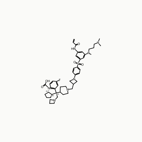 C=CC(=O)Nc1cc(N(C)CCCN(C)C)cc(S(=O)(=O)c2ccc(N3CC(CN4CCC([C@@](CN5CCC5)(c5cccc(F)c5)[C@H]5CCC[C@@H]5NC(=O)O)CC4)C3)cc2)c1